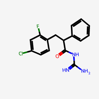 N=C(N)NC(=O)C(Cc1ccc(Cl)cc1F)c1ccccc1